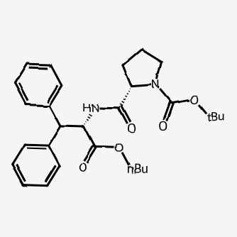 CCCCOC(=O)[C@@H](NC(=O)[C@@H]1CCCN1C(=O)OC(C)(C)C)C(c1ccccc1)c1ccccc1